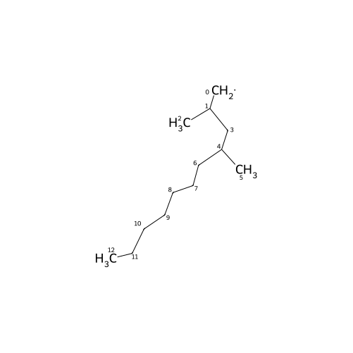 [CH2]C(C)CC(C)CCCCCCC